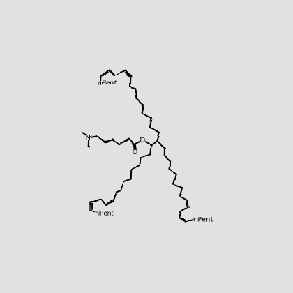 CCCCC/C=C\C/C=C\CCCCCCCCC(CCCCCCCC/C=C\C/C=C\CCCCC)C(CCCCCCCC/C=C\C/C=C\CCCCC)OC(=O)CCCCCN(C)C